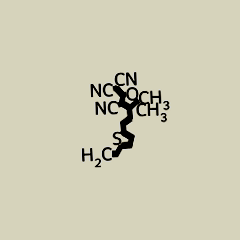 C=Cc1ccc(/C=C/C2=C(C#N)C(=C(C#N)C#N)OC2(C)C)s1